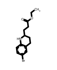 CCOC(=O)CCC1CCc2cc(Br)ccc2N1